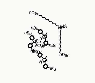 CCCCCCCCCCCCCCCCCCCCC[CH2][Ni][CH2]CCCCCCCCCCCCCCCCCCCCC.CCCCCc1cccc(C(=C(CCCC)C(C)=C=[N+]=[N-])c2ccc(CCCC)cc2)c1.CCCCc1ccc(C2=C(C)C=C(c3cccc(CCCC)c3)[N+]2=[N-])cc1.CCCCc1ccc(C2=C(C)C=C(c3cccc(CCCC)c3)[N+]2=[N-])cc1.[H-].[H-].[Ni+2]